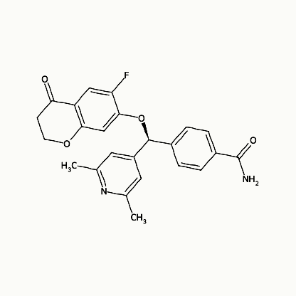 Cc1cc([C@@H](Oc2cc3c(cc2F)C(=O)CCO3)c2ccc(C(N)=O)cc2)cc(C)n1